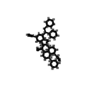 N#Cc1cc(C(Cc2ccccc2)c2ccccc2)c2nc3c4ccc(C#N)c5c(-c6ccccc6)ccc(c(=O)n3c2c1)c54